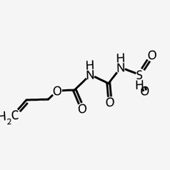 C=CCOC(=O)NC(=O)N[SH](=O)=O